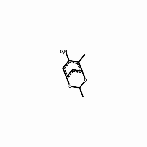 Cc1c2cc(cc1[N+](=O)[O-])OC(C)O2